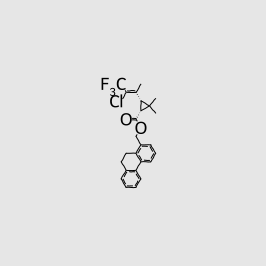 CC(=C(Cl)C(F)(F)F)[C@H]1[C@@H](C(=O)OCc2cccc3c2CCc2ccccc2-3)C1(C)C